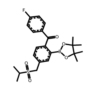 CC(C)S(=O)(=O)Cc1ccc(C(=O)c2ccc(F)cc2)c(B2OC(C)(C)C(C)(C)O2)c1